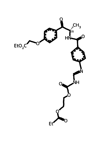 CCOC(=O)COc1ccc(C(=O)[C@H](C)NC(=O)c2ccc(N=CNC(=O)OCCOC(=O)CC)cc2)cc1